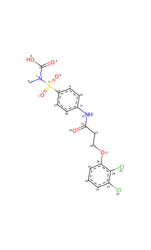 CN(C(=O)O)S(=O)(=O)c1ccc(NC(=O)CCOc2cccc(Cl)c2Cl)cc1